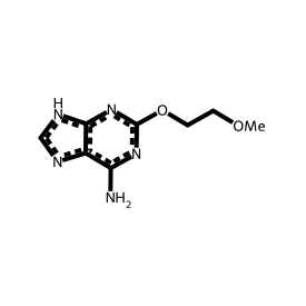 COCCOc1nc(N)c2nc[nH]c2n1